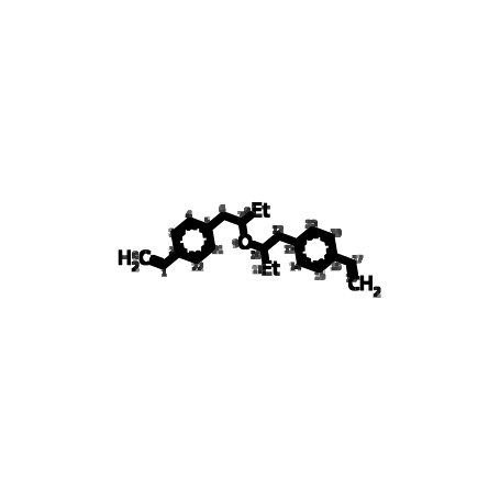 C=Cc1ccc(CC(CC)OC(CC)Cc2ccc(C=C)cc2)cc1